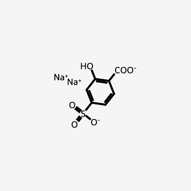 O=C([O-])c1ccc(S(=O)(=O)[O-])cc1O.[Na+].[Na+]